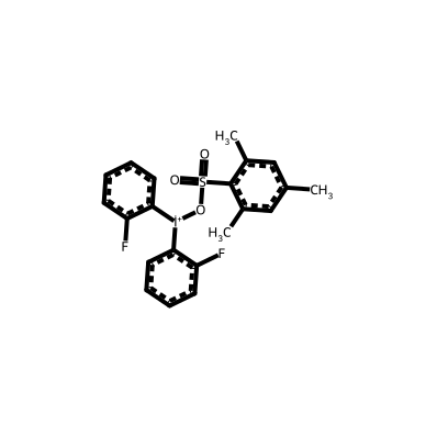 Cc1cc(C)c(S(=O)(=O)O[I+](c2ccccc2F)c2ccccc2F)c(C)c1